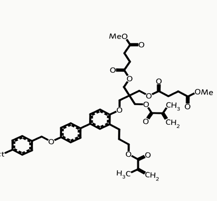 C=C(C)C(=O)OCCCc1cc(-c2ccc(OCc3ccc(CCCCCCCC)cc3)cc2)ccc1OCC(COC(=O)CCC(=O)OC)(COC(=O)CCC(=O)OC)COC(=O)C(=C)C